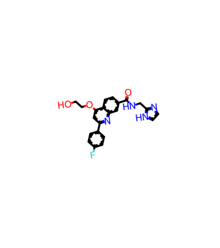 O=C(NCc1ncc[nH]1)c1ccc2c(OCCO)cc(-c3ccc(F)cc3)nc2c1